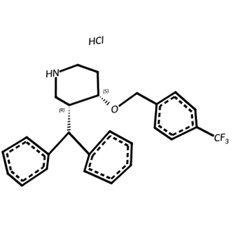 Cl.FC(F)(F)c1ccc(CO[C@H]2CCNC[C@H]2C(c2ccccc2)c2ccccc2)cc1